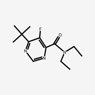 CCN(CC)C(=O)c1ncnc(C(C)(C)C)c1F